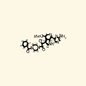 COc1cnc(-c2cncc(N)n2)c2[nH]cc(C(=O)C(=O)N3CCN(C(=O)c4ccccc4)CC3)c12